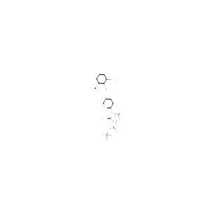 CC(C)(C)OC(=O)N1CC(=O)N(c2ccc(OCc3c(Cl)cccc3C(F)(F)F)cn2)C1=O